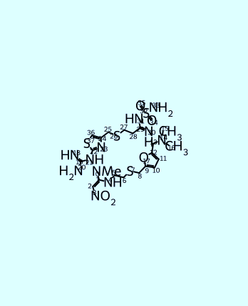 CN/C(=C/[N+](=O)[O-])NCCSCc1ccc(CN(C)C)o1.N=C(N)Nc1nc(CSCCC(=N)NS(N)(=O)=O)cs1